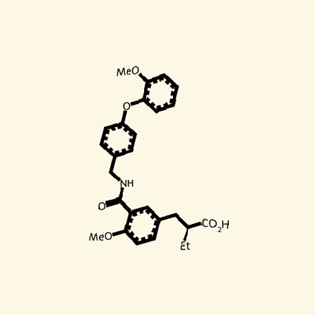 CC[C@@H](Cc1ccc(OC)c(C(=O)NCc2ccc(Oc3ccccc3OC)cc2)c1)C(=O)O